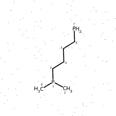 CP(C)CCCCP